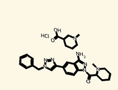 CN1CCCC(C(=O)O)C1.CN1CCCCC1C(=O)n1nc(N)c2cc(-c3cn(Cc4ccccc4)nn3)ccc21.Cl